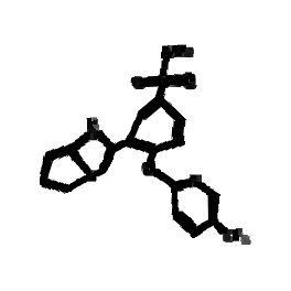 CNS(=O)(=O)c1ccc(Oc2ccc(C(F)(F)F)cn2)c(C2=CN3CCCC3N2)c1